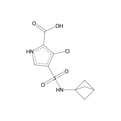 O=C(O)c1[nH]cc(S(=O)(=O)NC23CC(C2)C3)c1Cl